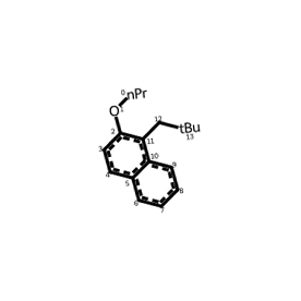 CCCOc1ccc2ccccc2c1CC(C)(C)C